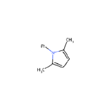 Cc1ccc(C)n1C(C)C